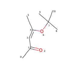 CC(=O)/C=C(/C)OC(C)(C)C